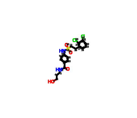 O=C(NCCCO)c1ccc(NS(=O)(=O)CCc2cccc(Cl)c2Cl)cc1